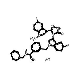 Cl.Cn1cc(-c2n[nH]c(=O)n2-c2cn(Cc3cccc(C(=N)NCc4ccccc4)c3)c3ccc(F)cc23)c2cc(F)ccc21